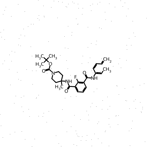 C=C/C=C\C(=C/C)NC(=O)c1cccc(C(=O)NC2(C)CCN(C(=O)OC(C)(C)C)CC2)c1F